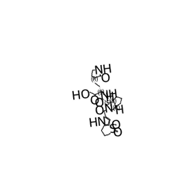 O=C1NCC[C@H]1CC[C@H](NC(=O)[C@@H]1[C@H]2CCC[C@H]2CN1C(=O)c1cc2c([nH]1)CCCS2(=O)=O)C(=O)CO